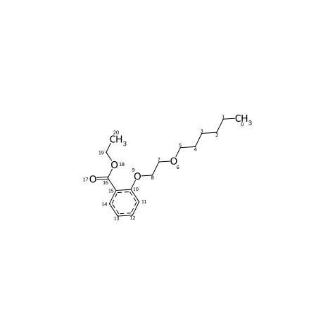 CCCCCCOCCOc1ccccc1C(=O)OCC